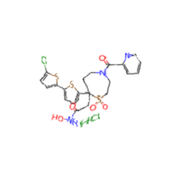 Cl.O=C(CC1(c2ccc(-c3ccc(Cl)s3)s2)CCN(C(=O)c2ccccn2)CCS1(=O)=O)NO